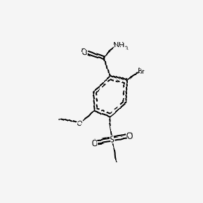 COc1cc(C(N)=O)c(Br)cc1S(C)(=O)=O